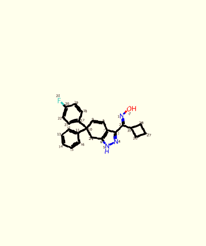 ON=C(c1n[nH]c2c1C=CC(c1ccccc1)(c1ccc(F)cc1)C2)C1CCC1